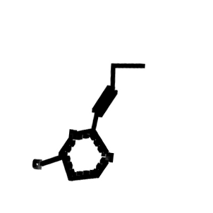 CCC#Cc1nccc(Cl)n1